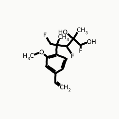 C=Cc1ccc(C(C)(CF)C(F)C(C)(O)C(O)F)c(OC)c1